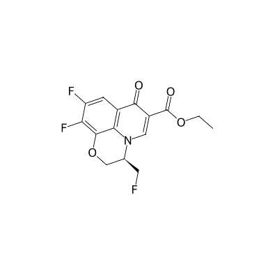 CCOC(=O)c1cn2c3c(c(F)c(F)cc3c1=O)OC[C@@H]2CF